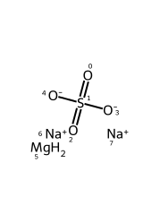 O=S(=O)([O-])[O-].[MgH2].[Na+].[Na+]